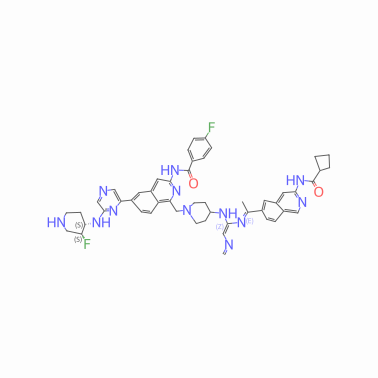 C=N/C=C(\N=C(/C)c1ccc2cnc(NC(=O)C3CCC3)cc2c1)NC1CCN(Cc2nc(NC(=O)c3ccc(F)cc3)cc3cc(-c4cncc(N[C@H]5CCNC[C@@H]5F)n4)ccc23)CC1